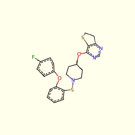 Fc1ccc(Oc2ccccc2SN2CCC(Oc3ncnc4c3SCC4)CC2)cc1